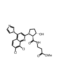 COC(=O)CCNC(=O)[C@@H]1[C@@H](O)CCN1c1cc(-n2ccnc2)c2ccc(Cl)c(Cl)c2n1